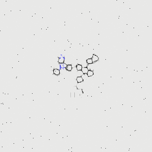 C/C=C\C=C/c1ccc(-c2c3ccccc3c(-c3ccc4ccccc4c3)c3ccc(-c4ccc5c(c4)c4cnccc4n5-c4ccccc4)cc23)cc1